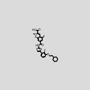 CO/C(=C\c1c(F)cc(C(=O)Nc2nc(-c3cccc(OCCC4CCCCC4)c3F)cs2)cc1F)C(=O)O